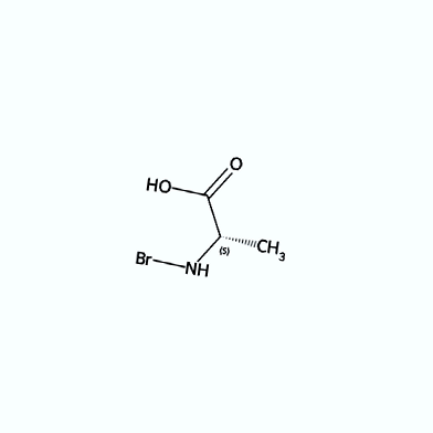 C[C@H](NBr)C(=O)O